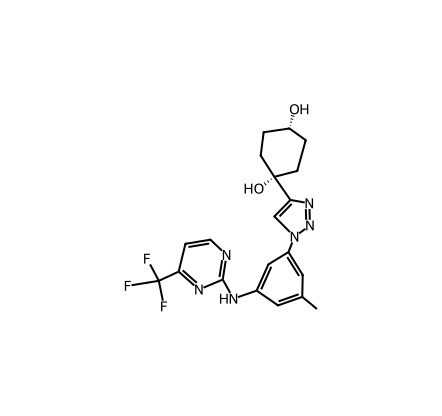 Cc1cc(Nc2nccc(C(F)(F)F)n2)cc(-n2cc([C@]3(O)CC[C@@H](O)CC3)nn2)c1